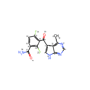 Cc1ncnc2[nH]cc(C(=O)c3c(F)ccc(C(N)=O)c3F)c12